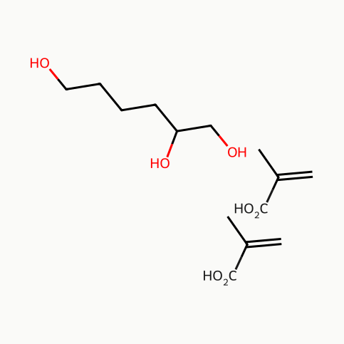 C=C(C)C(=O)O.C=C(C)C(=O)O.OCCCCC(O)CO